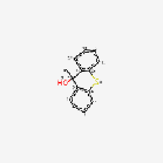 CC1(O)c2ccccc2Sc2ccccc21